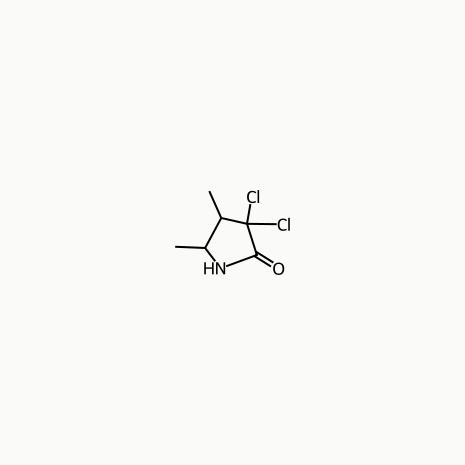 CC1NC(=O)C(Cl)(Cl)C1C